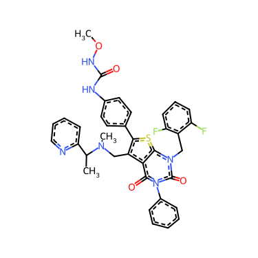 CONC(=O)Nc1ccc(-c2sc3c(c2CN(C)C(C)c2ccccn2)c(=O)n(-c2ccccc2)c(=O)n3Cc2c(F)cccc2F)cc1